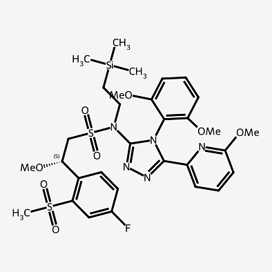 COc1cccc(-c2nnc(N(CC[Si](C)(C)C)S(=O)(=O)C[C@@H](OC)c3ccc(F)cc3S(C)(=O)=O)n2-c2c(OC)cccc2OC)n1